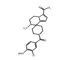 COc1ccc(C(=O)N2CCC3(CC2)c2ccc(C(=O)C(F)(F)F)n2CCN3C)cc1Cl